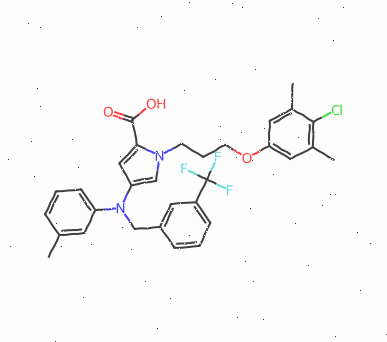 Cc1cccc(N(Cc2cccc(C(F)(F)F)c2)c2cc(C(=O)O)n(CCCOc3cc(C)c(Cl)c(C)c3)c2)c1